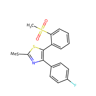 CSc1nc(-c2ccc(F)cc2)c(-c2ccccc2S(C)(=O)=O)s1